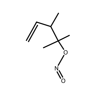 C=CC(C)C(C)(C)ON=O